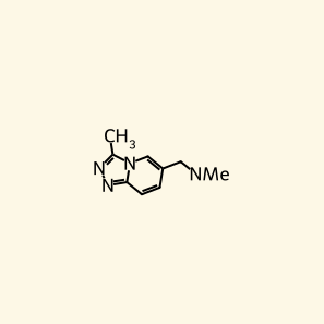 CNCc1ccc2nnc(C)n2c1